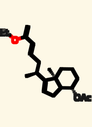 C=C(/C=C/C[C@H](C)C1=CCC2[C@@H](OC(C)=O)CCC[C@]12C)OCC